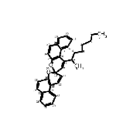 CCCCCCC(C)C1=CC2(C=Cc3c(ccc4ccccc34)O2)Oc2ccc3ccccc3c21